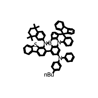 CCCCc1ccc(N(c2ccccc2)c2cc3c4c(c2)N2c5ccccc5C5(c6ccccc6-c6ccccc65)c5cccc(c52)B4N(c2ccc4c(c2)C(C)(C)CCC4(C)C)c2c-3ccc3c2sc2ccccc23)cc1